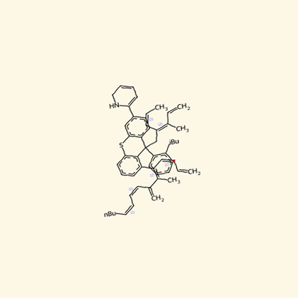 C=C/C=C\C(=C(/C)C(=C)/C=C\C=C/CCCC)c1cccc2c1C(CC(/C=C\C)=C(\C)C=C)(c1ccccc1C(C)CC)c1ccc(C3=CC=CCN3)cc1S2